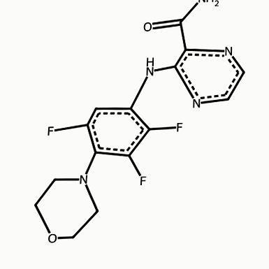 NC(=O)c1nccnc1Nc1cc(F)c(N2CCOCC2)c(F)c1F